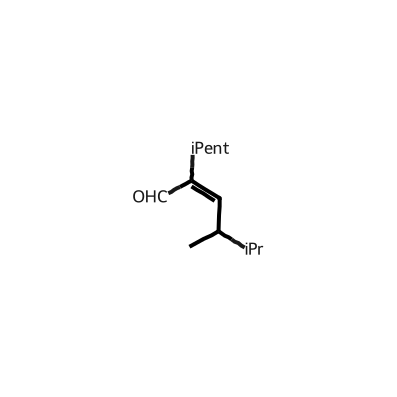 CCCC(C)C(C=O)=CC(C)C(C)C